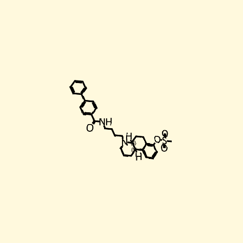 CS(=O)(=O)Oc1cccc2c1CC[C@@H]1[C@H]2CCCN1CCCCNC(=O)c1ccc(-c2ccccc2)cc1